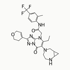 CCc1c(N2CCNC3CC3C2)c(=O)n2nc(C3=CCOCC3)nc2n1CC(=O)Nc1ccc(C(F)(F)F)cc1C